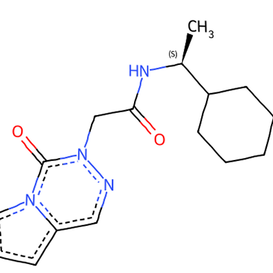 C[C@H](NC(=O)Cn1ncc2cccn2c1=O)C1CCCCC1